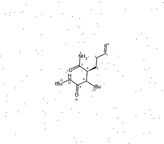 C=CCC[C@H](C(N)=O)C(C(=O)NC(C)(C)C)C(C)(C)C